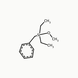 CC[Si](CC)(Cc1ccccc1)OC